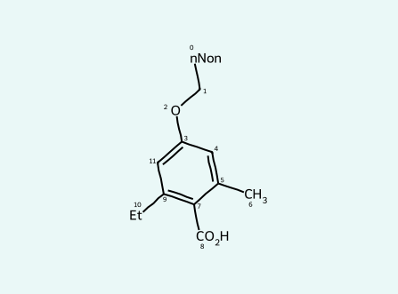 CCCCCCCCCCOc1cc(C)c(C(=O)O)c(CC)c1